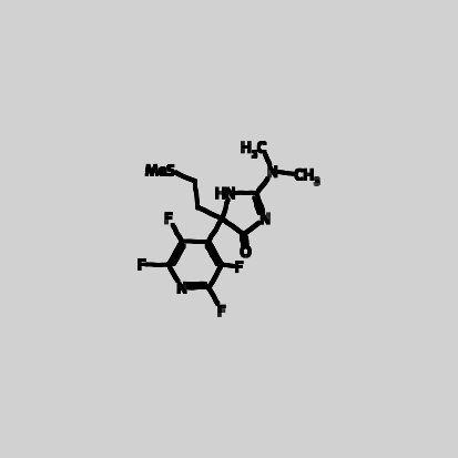 CSCCC1(c2c(F)c(F)nc(F)c2F)NC(N(C)C)=NC1=O